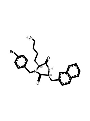 NCCCC[C@H]1C(=O)N[C@@H](Cc2ccc3ccccc3c2)C(=O)N1Cc1ccc(Br)cc1